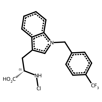 O=C(O)[C@H](Cc1cn(Cc2ccc(C(F)(F)F)cc2)c2ccccc12)NCl